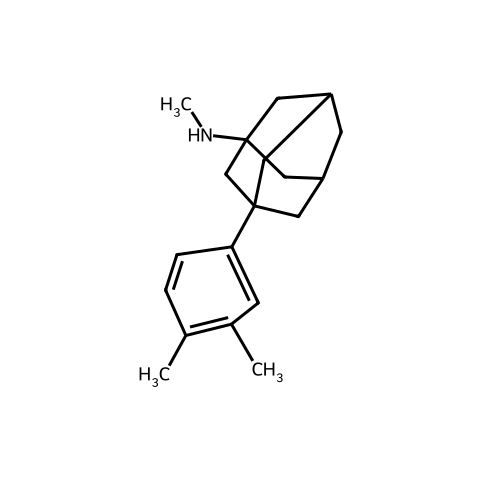 CNC12CC3CC(C1)CC(c1ccc(C)c(C)c1)(C3)C2